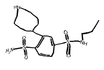 CCCNS(=O)(=O)c1ccc(S(N)(=O)=O)c(C2CCNCC2)c1